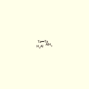 [AlH3].[AlH3].[Ta][Ta]